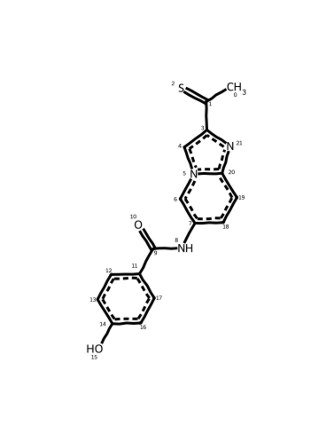 CC(=S)c1cn2cc(NC(=O)c3ccc(O)cc3)ccc2n1